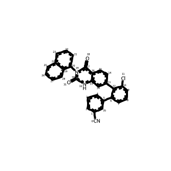 N#Cc1cccc(-c2cccc(Cl)c2-c2ccc3c(=O)n(-c4cccc5ccccc45)c(=O)[nH]c3c2)c1